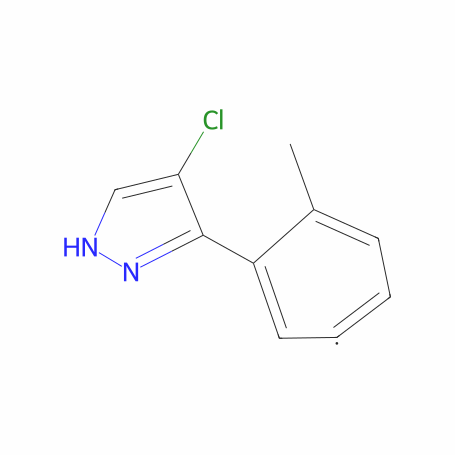 Cc1cc[c]cc1-c1n[nH]cc1Cl